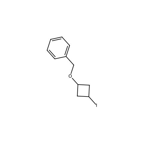 IC1CC(OCc2ccccc2)C1